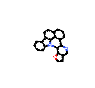 c1cc2ccc3c4ccccc4n4c5c(ncc6ccoc65)c(c1)c2c34